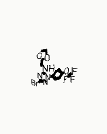 FC(F)(F)Oc1ccc(-n2nc(Br)nc2NCC2OCCO2)cc1